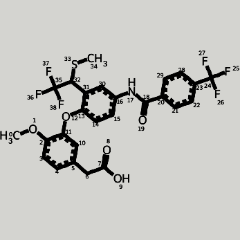 COc1ccc(CC(=O)O)cc1Oc1ccc(NC(=O)c2ccc(C(F)(F)F)cc2)cc1C(SC)C(F)(F)F